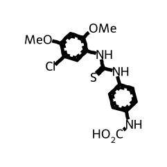 COc1cc(OC)c(NC(=S)Nc2ccc(NC(=O)O)cc2)cc1Cl